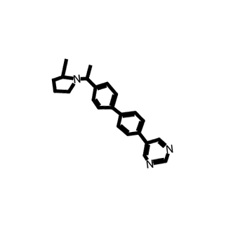 CC1CCCN1C(C)c1ccc(-c2ccc(-c3cncnc3)cc2)cc1